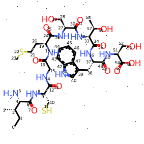 CC[C@H](C)[C@H](N)C(=O)N[C@@H](CS)C(=O)NCC(=O)N[C@@H](CCSC)C(=O)N[C@@H](CO)C(=O)N[C@H](C(=O)N[C@@H](Cc1c[nH]c2ccccc12)C(=O)N[C@@H](CO)C(=O)O)[C@@H](C)O